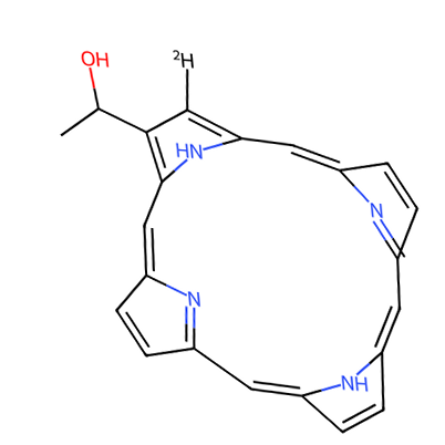 [2H]c1c(C(C)O)c2cc3nc(cc4ccc(cc5nc(cc1[nH]2)C=C5)[nH]4)C=C3